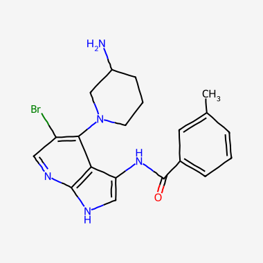 Cc1cccc(C(=O)Nc2c[nH]c3ncc(Br)c(N4CCCC(N)C4)c23)c1